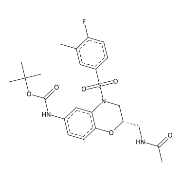 CC(=O)NC[C@H]1CN(S(=O)(=O)c2ccc(F)c(C)c2)c2cc(NC(=O)OC(C)(C)C)ccc2O1